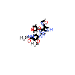 CNC(=O)c1ccc(Nc2nc(OC3CCOCC3)c3c(-c4ncco4)c[nH]c3n2)c(OC)c1